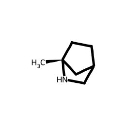 C[C@]12CCC(CN1)C2